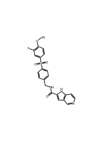 CCCOc1ccc(S(=O)(=O)c2ccc(CNC(=O)c3cc4cnccc4[nH]3)cc2)cc1F